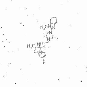 CC(C)C(N)(CCCN1CCN(c2nc3ccccc3n2C)CC1)c1ccc(F)cc1